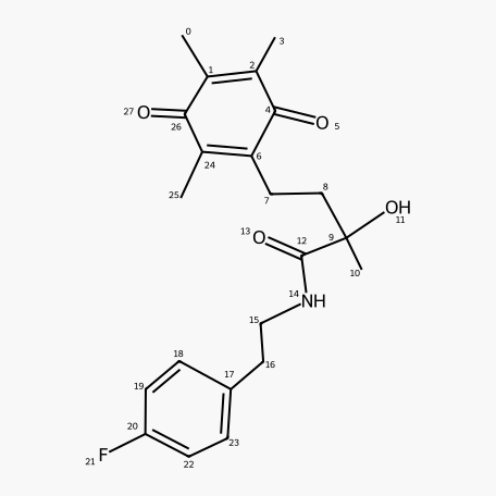 CC1=C(C)C(=O)C(CCC(C)(O)C(=O)NCCc2ccc(F)cc2)=C(C)C1=O